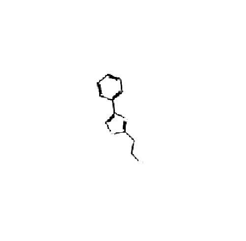 CCCc1nc(-c2ccccc2)c[nH]1